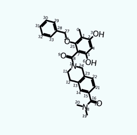 Cc1c(O)cc(O)c(C(=O)N2CCc3cc(C(=O)N(C)C)ccc3C2)c1OCc1ccccc1